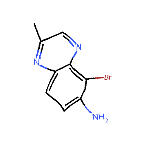 Cc1cnc2c(Br)c(N)ccc2n1